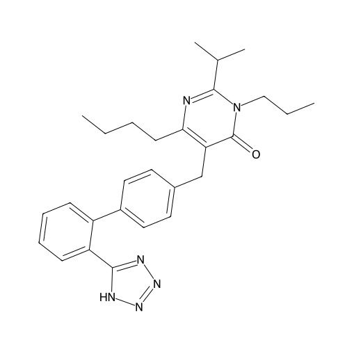 CCCCc1nc(C(C)C)n(CCC)c(=O)c1Cc1ccc(-c2ccccc2-c2nnn[nH]2)cc1